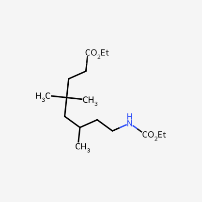 CCOC(=O)CCC(C)(C)CC(C)CCNC(=O)OCC